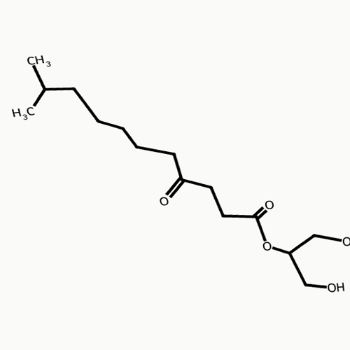 CC(C)CCCCCC(=O)CCC(=O)OC(CO)CO